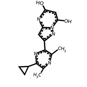 Cc1nc(C)c(C2CC2)nc1-c1cc2nc(O)cc(O)n2n1